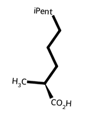 CCCC(C)CCC[C@H](C)C(=O)O